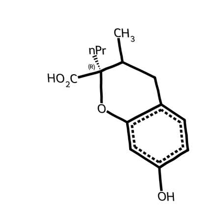 CCC[C@@]1(C(=O)O)Oc2cc(O)ccc2CC1C